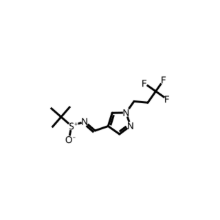 CC(C)(C)[S+]([O-])/N=C/c1cnn(CCC(F)(F)F)c1